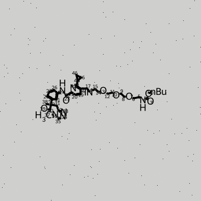 CCCCOC(=O)NCCOCCOCCOCCNCc1ccc(C(=O)Nc2cccc(C3(Cc4nncn4C)COC3)c2)nc1C1CC1